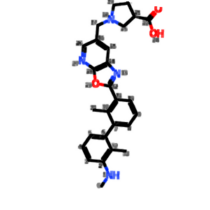 CNc1cccc(-c2cccc(-c3nc4cc(CN5CC[C@@H](C(=O)O)C5)cnc4o3)c2C)c1C